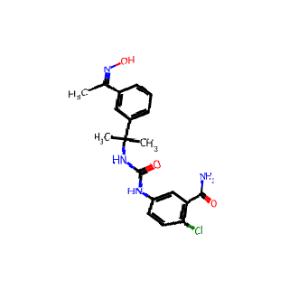 C/C(=N/O)c1cccc(C(C)(C)NC(=O)Nc2ccc(Cl)c(C(N)=O)c2)c1